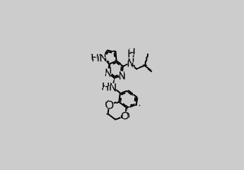 CC(C)CNc1nc(Nc2cc[c]c3c2OCCO3)nc2[nH]ccc12